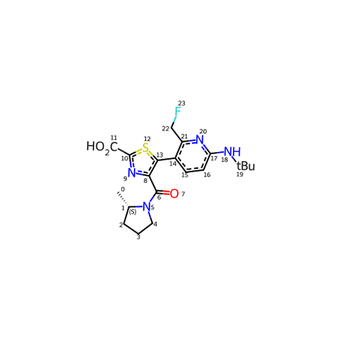 C[C@H]1CCCN1C(=O)c1nc(C(=O)O)sc1-c1ccc(NC(C)(C)C)nc1CF